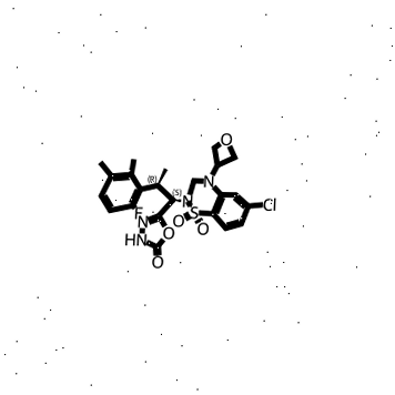 Cc1ccc(F)c([C@@H](C)[C@@H](c2n[nH]c(=O)o2)N2CN(C3COC3)c3cc(Cl)ccc3S2(=O)=O)c1C